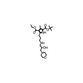 CCOC(=O)c1c(CCCNC[C@@H](O)CN2CCOCC2)[nH]c(C(=O)OC(C)(C)C)c1C